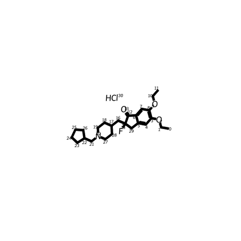 CCOc1cc2c(cc1OCC)C(=O)C(F)(CC1CCN(CC3CCCC3)CC1)C2.Cl